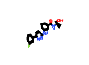 O=C(NC1(CO)CC1)c1cccc(Nc2ccc(-c3cccc(F)c3)nn2)c1